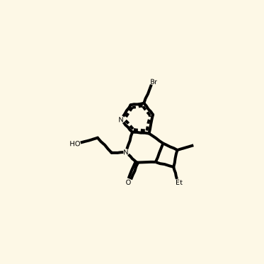 CCC1C(C)C2c3cc(Br)cnc3N(CCO)C(=O)C12